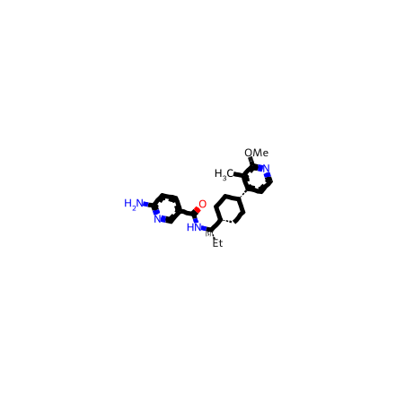 CC[C@H](NC(=O)c1ccc(N)nc1)[C@H]1CC[C@@H](c2ccnc(OC)c2C)CC1